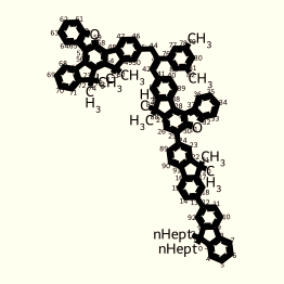 CCCCCCCC1(CCCCCCC)c2ccccc2-c2ccc(-c3ccc4c(c3)C(C)(C)c3cc(-c5cc6c(c7c5oc5ccccc57)-c5ccc(/C=C(/Cc7ccc8c(c7)C(C)(C)c7c9c(c%10c(oc%11ccccc%11%10)c7-8)-c7ccccc7C9(C)C)c7cc(C)cc(C)c7)cc5C6(C)C)ccc3-4)cc21